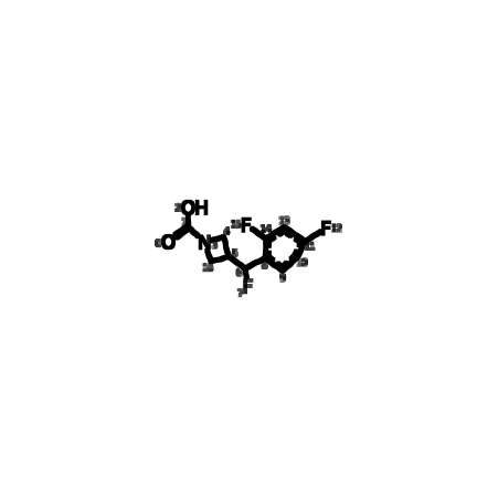 O=C(O)N1CC(C(F)c2ccc(F)cc2F)C1